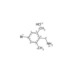 Cc1cc(Br)cc(C)c1CN.Cl